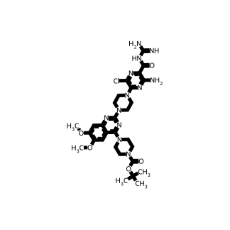 COc1cc2nc(N3CCN(c4nc(N)c(C(=O)NC(=N)N)nc4Cl)CC3)nc(N3CCN(C(=O)OC(C)(C)C)CC3)c2cc1OC